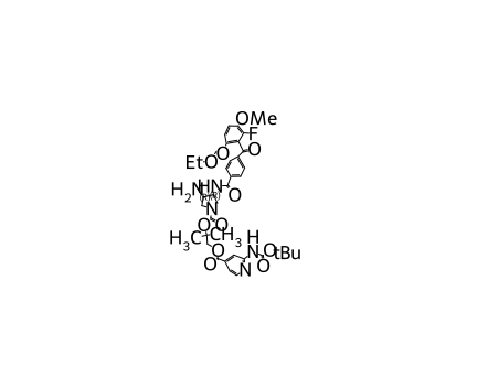 CCOCOc1ccc(OC)c(F)c1C(=O)c1ccc(C(=O)N[C@@H]2CN(C(=O)OC(C)(C)COC(=O)c3ccnc(NC(=O)OC(C)(C)C)c3)C[C@H]2N)cc1